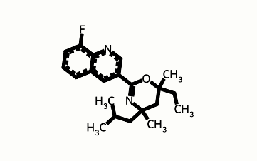 CCC1(C)CC(C)(CC(C)C)N=C(c2cnc3c(F)cccc3c2)O1